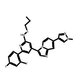 CCCSNc1cc(-c2cnc3cc(-c4cnn(C)c4)ccn23)cc(-c2ccc(F)cc2F)n1